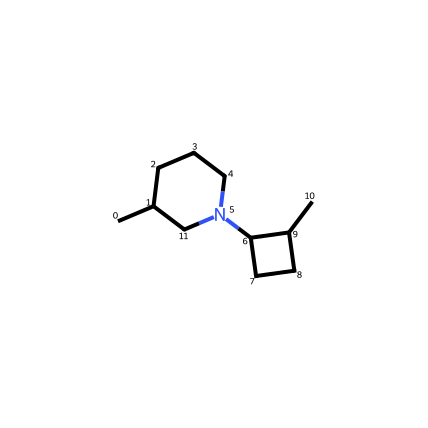 CC1CCCN(C2CCC2C)C1